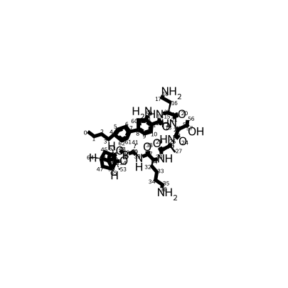 CCCCc1ccc(-c2ccc(C(=O)N[C@@H](CCN)C(=O)N[C@H](C(=O)N[C@@H](C)C(=O)N[C@@H](CCCCN)C(=O)N[C@@H](C)B3O[C@@H]4C[C@@H]5C[C@@H](C5(C)C)[C@]4(C)O3)C(C)O)c(N)c2)cc1